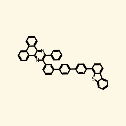 c1ccc(-c2nc3c4ccccc4c4ccccc4c3nc2-c2cccc(-c3ccc(-c4ccc(-c5cccc6c5sc5ccccc56)cc4)cc3)c2)cc1